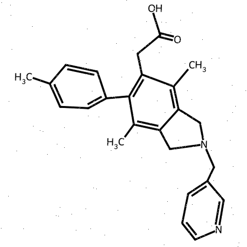 Cc1ccc(-c2c(C)c3c(c(C)c2CC(=O)O)CN(Cc2cccnc2)C3)cc1